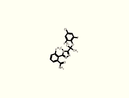 Cn1c(-c2c(F)cccc2C(N)=O)nnc1C(C)(C)Oc1c(F)cc(Cl)cc1F